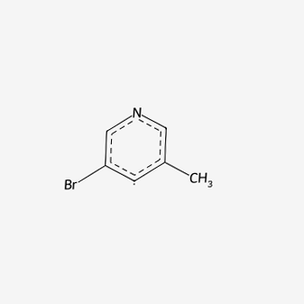 Cc1[c]c(Br)cnc1